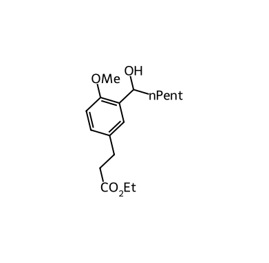 CCCCCC(O)c1cc(CCC(=O)OCC)ccc1OC